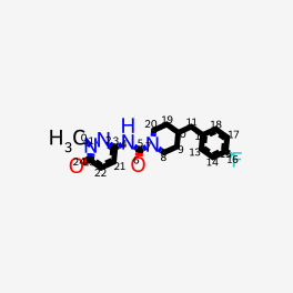 Cn1nc(NC(=O)N2CCC(Cc3ccc(F)cc3)CC2)ccc1=O